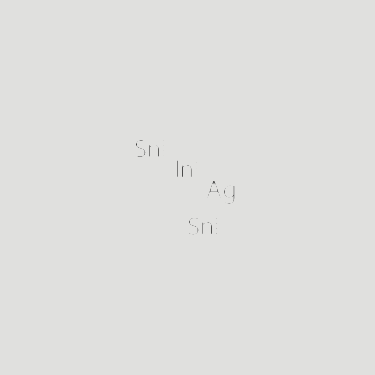 [Ag].[In].[Sn].[Sn]